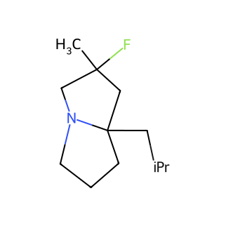 CC(C)CC12CCCN1CC(C)(F)C2